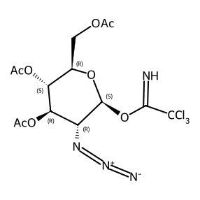 CC(=O)OC[C@H]1O[C@@H](OC(=N)C(Cl)(Cl)Cl)[C@H](N=[N+]=[N-])[C@@H](OC(C)=O)[C@@H]1OC(C)=O